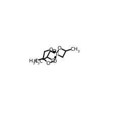 CC1C[O][Ti]23(=[O])([CH2]C(C)[O]2)([CH2]C(C)[O]3)[O]O1